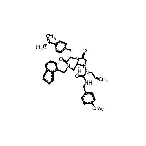 C=CCN(C(=O)NCc1ccc(OC)cc1)N1CC(=O)N2[C@@H](Cc3ccc(N(C)C)cc3)C(=O)N(Cc3cccc4ccccc34)C[C@@H]21